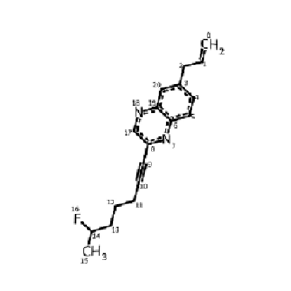 C=CCc1ccc2nc(C#CCCCC(C)F)cnc2c1